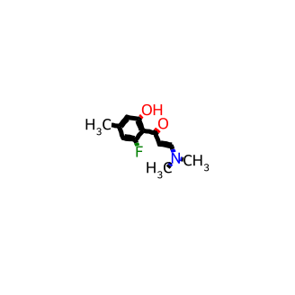 Cc1cc(O)c(C(=O)/C=C/N(C)C)c(F)c1